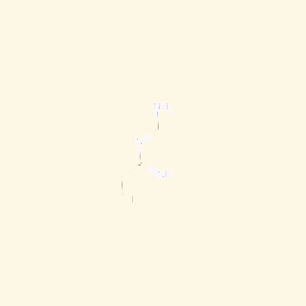 CCC(=N)/N=C(/N)S